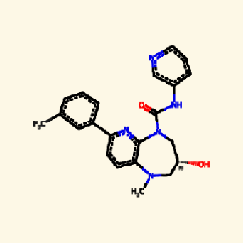 CN1C[C@@H](O)CN(C(=O)Nc2cccnc2)c2nc(-c3cccc(C(F)(F)F)c3)ccc21